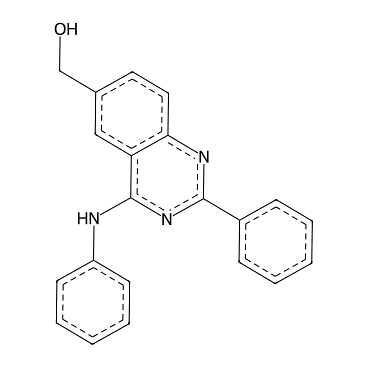 OCc1ccc2nc(-c3ccccc3)nc(Nc3ccccc3)c2c1